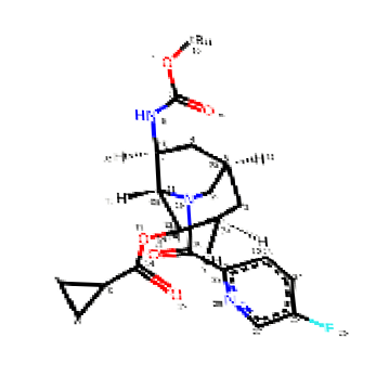 C[C@@H]1C[C@@H]2C[C@H](NC(=O)OC(C)(C)C)[C@@H]([C@@H]1OC(=O)C1CC1)N(C(=O)c1ccc(F)cn1)C2